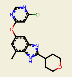 Cc1cc(Oc2cc(Cl)ncn2)cc2nc(C3CCOCC3)[nH]c12